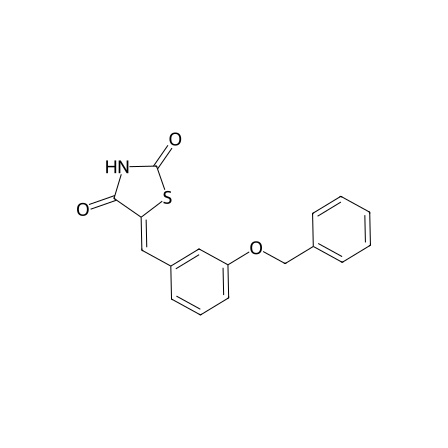 O=C1NC(=O)C(=Cc2cccc(OCc3ccccc3)c2)S1